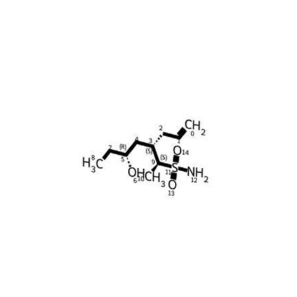 C=CC[C@@H](C[C@H](O)CC)[C@H](C)S(N)(=O)=O